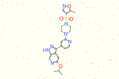 Cc1oncc1S(=O)(=O)N1CCN(c2cc(-c3n[nH]c4cnc(OC(C)C)cc34)ccn2)CC1